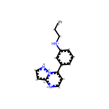 CC(C)CCNc1cccc(-c2ccnc3ccnn23)c1